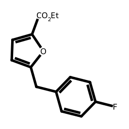 CCOC(=O)c1ccc(Cc2ccc(F)cc2)o1